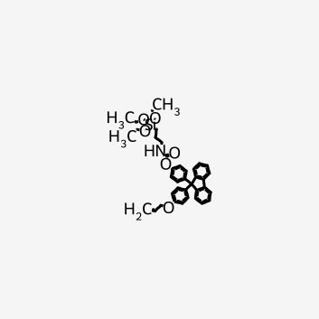 C=CCOc1ccc(C2(c3ccc(OC(=O)NCCC[Si](OCC)(OCC)OCC)cc3)c3ccccc3-c3ccccc32)cc1